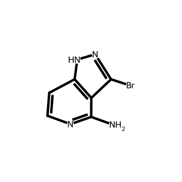 Nc1nccc2[nH]nc(Br)c12